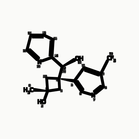 C[C@]1(O)C[C@](c2cncc(C(F)(F)F)c2)([C@H](O)c2ccccn2)C1